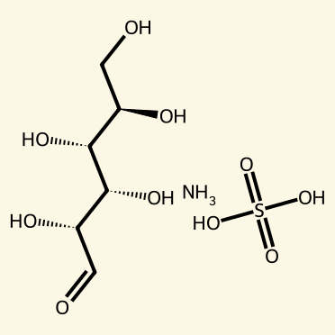 N.O=C[C@H](O)[C@@H](O)[C@H](O)[C@H](O)CO.O=S(=O)(O)O